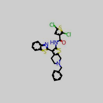 O=C(Nc1sc2c(c1-c1nc3ccccc3s1)CCN(Cc1ccccc1)C2)c1cc(Cl)sc1Cl